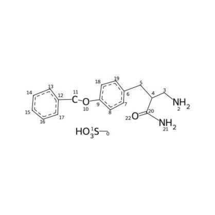 CS(=O)(=O)O.NCC(Cc1ccc(OCc2ccccc2)cc1)C(N)=O